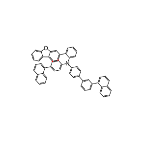 c1cc(-c2ccc(N(c3ccc(-c4cccc5ccccc45)cc3)c3ccccc3-c3ccc4c(c3)oc3ccccc34)cc2)cc(-c2cccc3ccccc23)c1